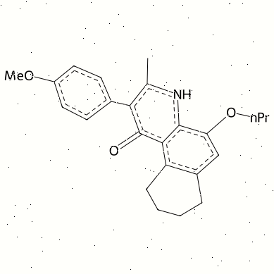 CCCOc1cc2c(c3c(=O)c(-c4ccc(OC)cc4)c(C)[nH]c13)CCCC2